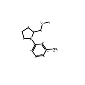 COCC1CCCN1c1cccc(N)c1